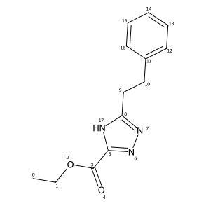 CCOC(=O)c1nnc(CCc2ccccc2)[nH]1